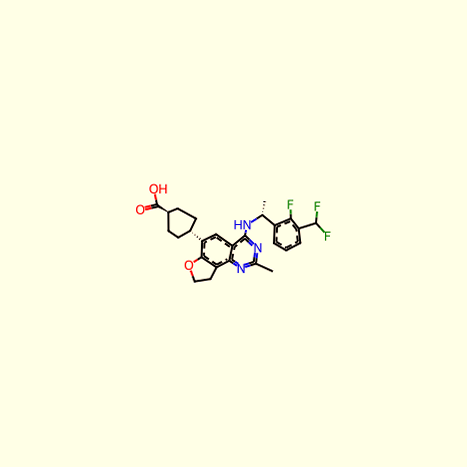 Cc1nc(N[C@H](C)c2cccc(C(F)F)c2F)c2cc([C@H]3CC[C@H](C(=O)O)CC3)c3c(c2n1)CCO3